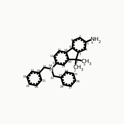 CC1(C)c2cc(N)ccc2-c2ccc(N(Cc3ccccc3)Cc3ccccc3)cc21